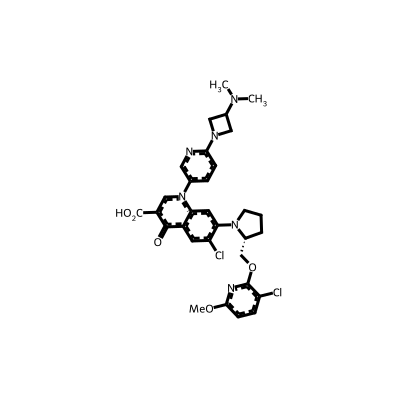 COc1ccc(Cl)c(OC[C@H]2CCCN2c2cc3c(cc2Cl)c(=O)c(C(=O)O)cn3-c2ccc(N3CC(N(C)C)C3)nc2)n1